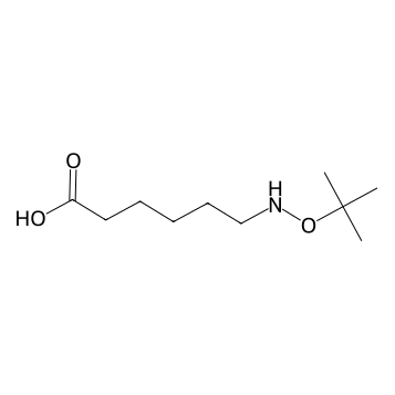 CC(C)(C)ONCCCCCC(=O)O